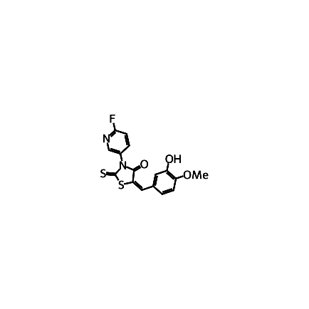 COc1ccc(/C=C2/SC(=S)N(c3ccc(F)nc3)C2=O)cc1O